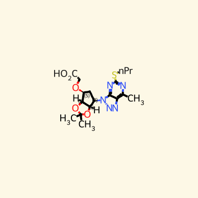 CCCSc1nc(C)c2nnn([C@@H]3C[C@H](OCC(=O)O)[C@H]4OC(C)(C)O[C@H]43)c2n1